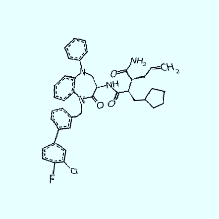 C=CC[C@H](C(N)=O)[C@@H](CC1CCCC1)C(=O)NC1CN(c2ccccc2)c2ccccc2N(Cc2cccc(-c3ccc(F)c(Cl)c3)c2)C1=O